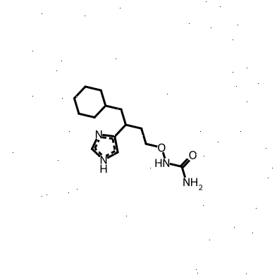 NC(=O)NOCCC(CC1CCCCC1)c1c[nH]cn1